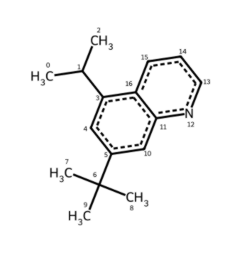 CC(C)c1cc(C(C)(C)C)cc2ncccc12